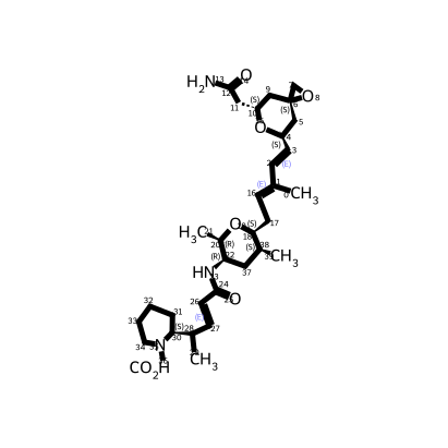 CC(/C=C/[C@@H]1C[C@]2(CO2)C[C@@H](CC(N)=O)O1)=C\C[C@@H]1O[C@H](C)[C@H](NC(=O)/C=C/C(C)[C@@H]2CCCCN2C(=O)O)C[C@@H]1C